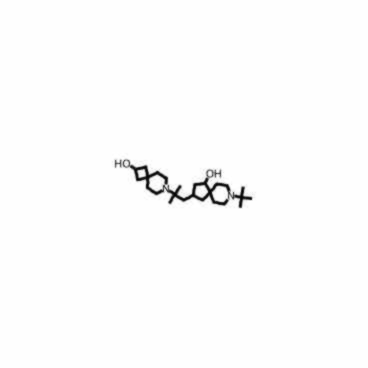 CC(C)(C)N1CCC2(CC1)CC(CC(C)(C)N1CCC3(CC1)CC(O)C3)CC2O